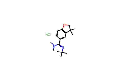 CN(C)C(=NC(C)(C)C)c1ccc2c(c1)C(C)(C)CO2.Cl